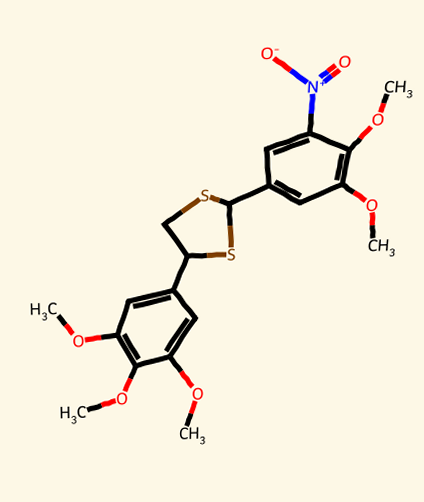 COc1cc(C2CSC(c3cc(OC)c(OC)c([N+](=O)[O-])c3)S2)cc(OC)c1OC